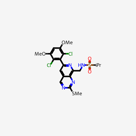 COc1cc(OC)c(Cl)c(-c2cc3cnc(SC)nc3c(CNS(=O)(=O)C(C)C)n2)c1Cl